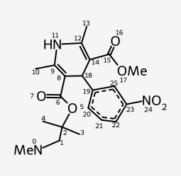 CNCC(C)(C)OC(=O)C1=C(C)NC(C)=C(C(=O)OC)C1c1cccc([N+](=O)[O-])c1